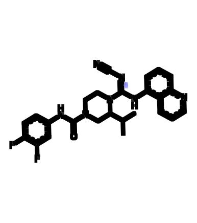 CC(C)C1CN(C(=O)Nc2ccc(F)c(F)c2)CCN1/C(=N\C#N)Nc1cccc2ncccc12